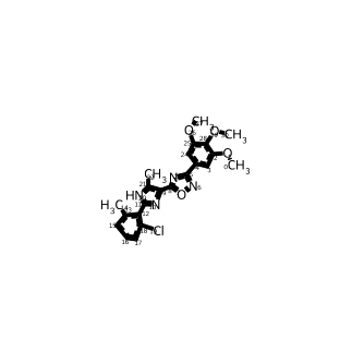 COc1cc(-c2noc(-c3nc(-c4c(C)cccc4Cl)[nH]c3C)n2)cc(OC)c1OC